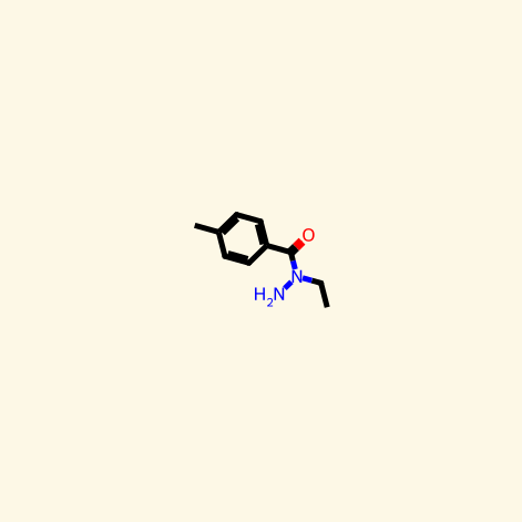 CCN(N)C(=O)c1ccc(C)cc1